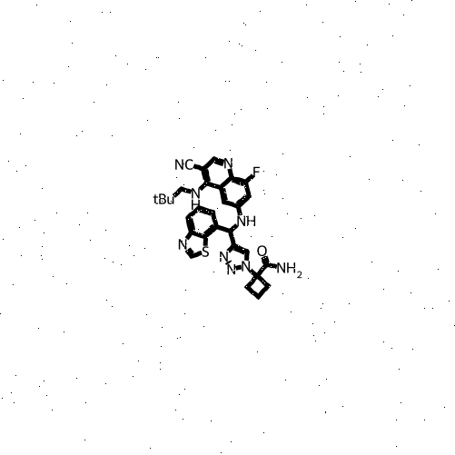 CC(C)(C)CNc1c(C#N)cnc2c(F)cc(NC(c3cn(C4(C(N)=O)CCC4)nn3)c3cccc4ncsc34)cc12